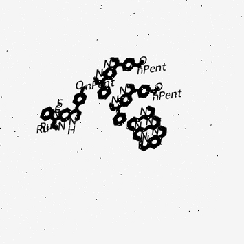 CCCCCC(=O)c1ccc(-c2ccnc3c2ccc2c(-c4ccccc4)ccnc23)cc1.CCCCCC(=O)c1ccc(-c2ccnc3c2ccc2c(-c4ccccc4)ccnc23)cc1.CCCCCC(=O)c1ccc(C2=C3C=CC4(N=C=S)C(c5ccccc5)=CC=NC4=C3NC=C2)cc1.[Ru+2].[Ru+2].c1ccc(-c2ccccn2)nc1.c1ccc(-c2ccccn2)nc1.c1cnc2c(c1)ccc1cccnc12